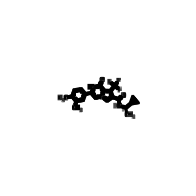 Cc1ccc(-c2cn3cc(C(=O)N[C@@H](C)C4CC4)c(C(F)(F)F)c3c(=O)[nH]2)cc1C